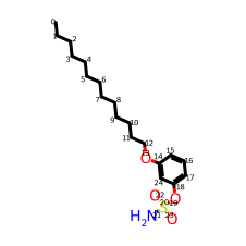 CCCCCCCCCCCCCOc1cccc(OS(N)(=O)=O)c1